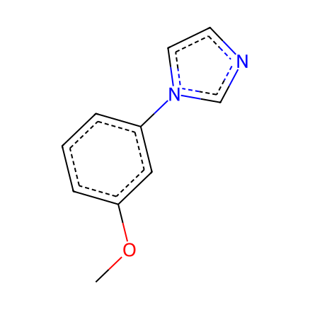 COc1cccc(-n2ccnc2)c1